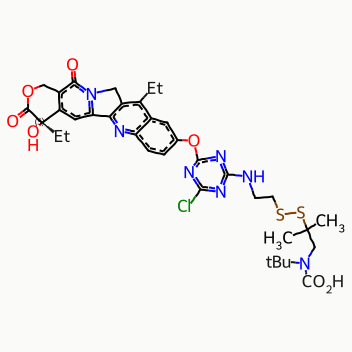 CCc1c2c(nc3ccc(Oc4nc(Cl)nc(NCCSSC(C)(C)CN(C(=O)O)C(C)(C)C)n4)cc13)-c1cc3c(c(=O)n1C2)COC(=O)[C@]3(O)CC